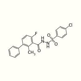 Cc1c(-c2ccccc2)ccc(F)c1C(=O)NNS(=O)(=O)c1ccc(Cl)cc1